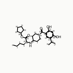 CCCC[C@H](NC1CCN(C(=O)c2cc(C(C)C)c(O)cc2O)CC1)C(=O)OC1CCCC1